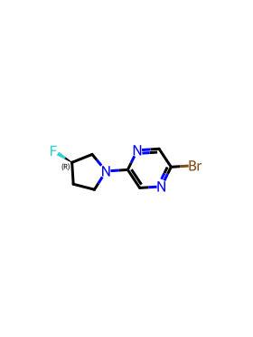 F[C@@H]1CCN(c2cnc(Br)cn2)C1